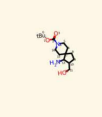 CC(C)(C)OC(=O)N1CCC2(CCC(CO)C2N)CC1